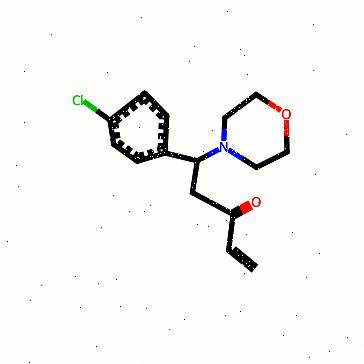 C=CC(=O)CC(c1ccc(Cl)cc1)N1CCOCC1